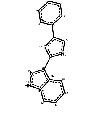 c1ccc(-c2cnc(-c3n[nH]c4ccccc34)s2)cc1